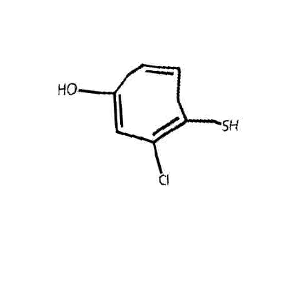 Oc1ccc(S)c(Cl)c1